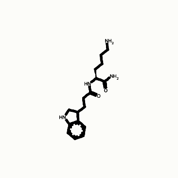 NCCCC[C@H](NC(=O)CCC1CNc2ccccc21)C(N)=O